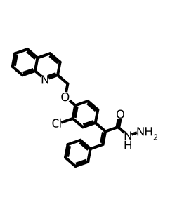 NNC(=O)/C(=C/c1ccccc1)c1ccc(OCc2ccc3ccccc3n2)c(Cl)c1